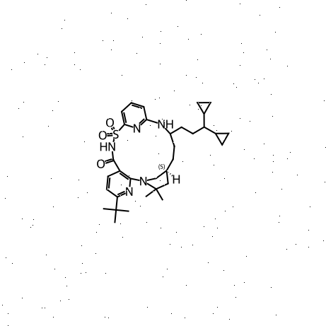 CC(C)(C)c1ccc2c(n1)N1C[C@@H](CCC(CCC(C3CC3)C3CC3)Nc3cccc(n3)S(=O)(=O)NC2=O)CC1(C)C